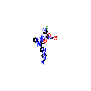 COCCN1C[C@@H](NC(=O)Nc2c(C)c(-c3ccc(N4CCN(CC#N)CC4)nc3)nn2-c2ccccc2)[C@H](c2ccnc(F)c2)O1